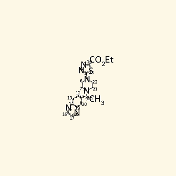 CCOC(=O)c1nnc(N2CCN(C(C)c3ccc4nccnc4c3)CC2)s1